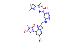 Cc1nc([C@H]2C[C@@H]2C(=O)Nc2cc(NCc3cn4cc(C5CC5)cc(N5CC(=O)N(C)C5=O)c4n3)ncn2)cs1